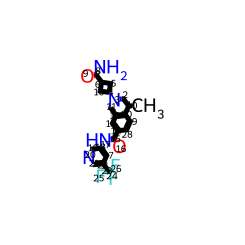 CC1CN(C2CC(C(N)=O)C2)Cc2cc(C(=O)Nc3cncc(C(F)(F)F)c3)ccc21